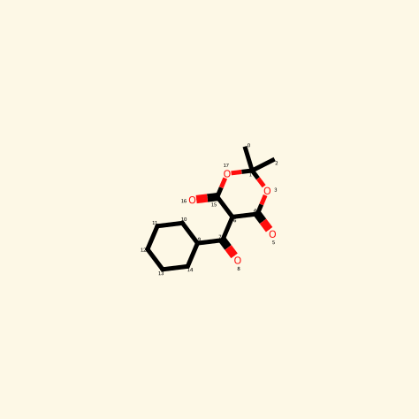 CC1(C)OC(=O)C(C(=O)C2CCCCC2)C(=O)O1